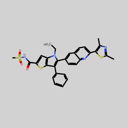 Cc1nc(C)c(-c2ccc3cc(-c4c(-c5ccccc5)c5sc(C(=O)NS(C)(=O)=O)cc5n4CC(=O)O)ccc3n2)s1